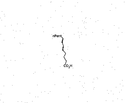 CCCCC/C=C/C=C/CCCC(=O)O